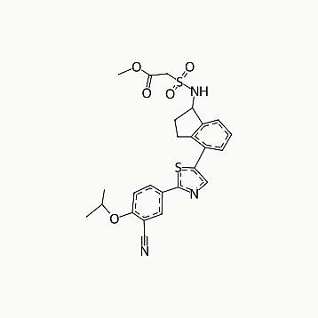 COC(=O)CS(=O)(=O)NC1CCc2c(-c3cnc(-c4ccc(OC(C)C)c(C#N)c4)s3)cccc21